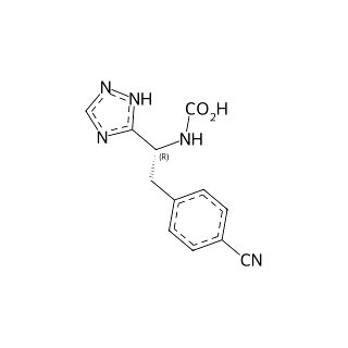 N#Cc1ccc(C[C@@H](NC(=O)O)c2ncn[nH]2)cc1